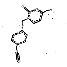 C#Cc1ccc(Cn2ccc(N)nc2=O)cc1